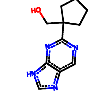 OCC1(c2ncc3nc[nH]c3n2)CCCC1